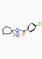 O=CC1(CNCC(=O)c2ccc(Cl)cc2)CCCCC1